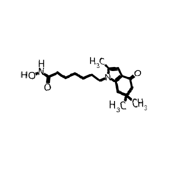 Cc1cc2c(n1CCCCCCC(=O)NO)CC(C)(C)CC2=O